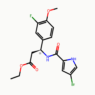 CCOC(=O)C[C@H](NC(=O)c1cc(Br)c[nH]1)c1ccc(OC)c(F)c1